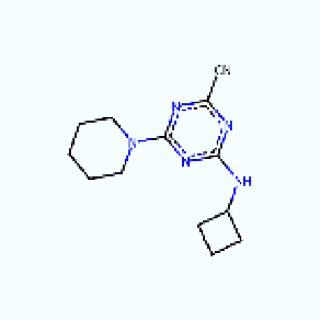 N#Cc1nc(NC2CCC2)nc(N2CCCCC2)n1